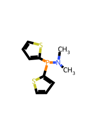 CN(C)P(c1cccs1)c1cccs1